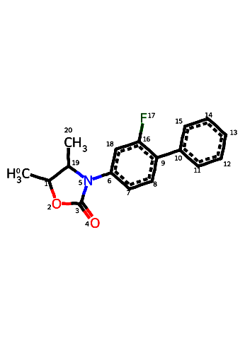 CC1OC(=O)N(c2ccc(-c3ccccc3)c(F)c2)C1C